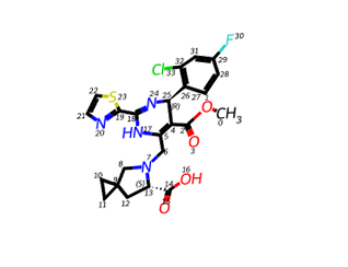 COC(=O)C1=C(CN2CC3(CC3)C[C@H]2C(=O)O)NC(c2nccs2)=N[C@H]1c1ccc(F)cc1Cl